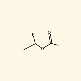 [CH2]C(F)OC(C)=O